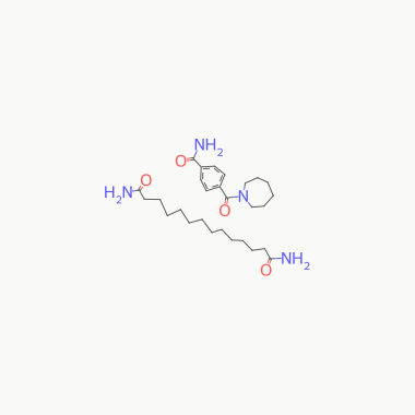 NC(=O)CCCCCCCCCCCCC(N)=O.NC(=O)c1ccc(C(=O)N2CCCCCC2)cc1